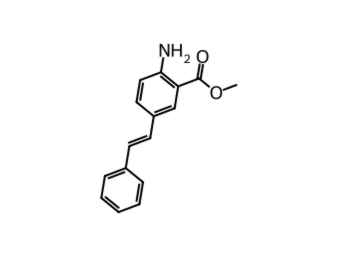 COC(=O)c1cc(/C=C/c2ccccc2)ccc1N